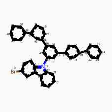 Brc1ccc2c(c1)c1ccccc1n2-c1cc(-c2ccc(-c3ccccc3)cc2)cc(-c2cccc(-c3ccccc3)c2)c1